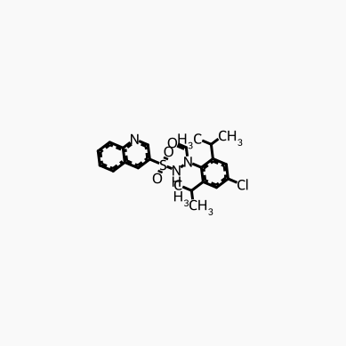 CC(C)c1cc(Cl)cc(C(C)C)c1N([C]=O)NS(=O)(=O)c1cnc2ccccc2c1